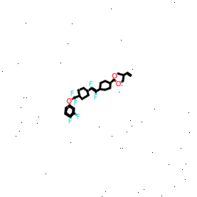 C=CC1COC(C2CCC(/C(F)=C(\F)C3CCC(C(F)(F)Oc4ccc(F)c(F)c4)CC3)CC2)OC1